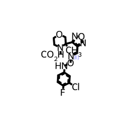 CC1(c2nonc2/C=N/ONc2ccc(F)c(Cl)c2)COCCN1C(=O)O